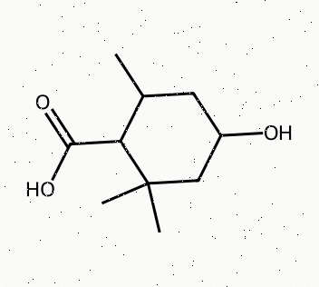 CC1CC(O)CC(C)(C)C1C(=O)O